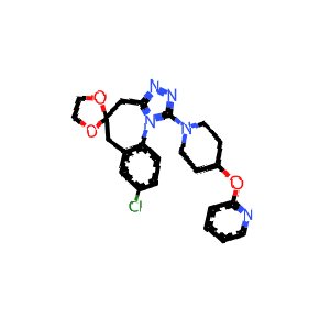 Clc1ccc2c(c1)CC1(Cc3nnc(N4CCC(Oc5ccccn5)CC4)n3-2)OCCO1